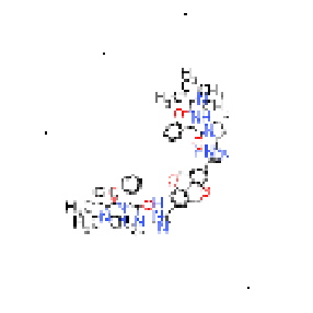 CC(C)[C@@H](C(=O)N[C@@H](C(=O)N1CCC[C@H]1c1ncc(-c2cc3c4c(c2)OCc2cc(-c5cnc([C@@H]6CCCN6C(=O)[C@H](NC(=O)[C@H](C(C)C)N(C)C)c6ccccc6)[nH]5)cc(c2-4)OC3)[nH]1)c1ccccc1)N(C)C